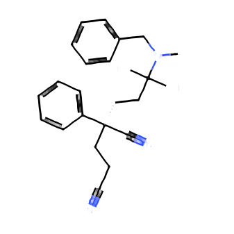 CN(Cc1ccccc1)C(C)(C)CC[C@](C#N)(CCC#N)c1ccccc1